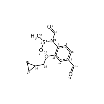 C[S+]([O-])N(C=O)c1ccc(C=O)cc1OCC1CC1